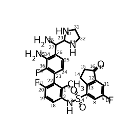 Cc1c(NS(=O)(=O)c2cc(F)cc3c2CCC3=O)ccc(F)c1-c1ccc(C(N)C2NCCN2)c(N)c1F